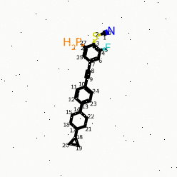 N#CSc1c(F)cc(C#Cc2ccc(C3CCC(C4CC4)CC3)cc2)cc1P